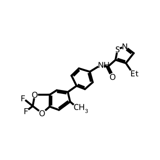 CCc1cnsc1C(=O)Nc1ccc(-c2cc3c(cc2C)OC(F)(F)O3)cc1